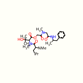 CNC(CC(C)C)C(=O)N(C)C(C(=O)OCC(=O)N(C)CC(=O)NC(C)Cc1ccccc1)C(C)(C)O